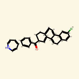 C1=CC=CNC=C1.O=C(c1ccccc1)C1C=c2c(ccc3c2=CCc2ccc(Br)cc2-3)CC1